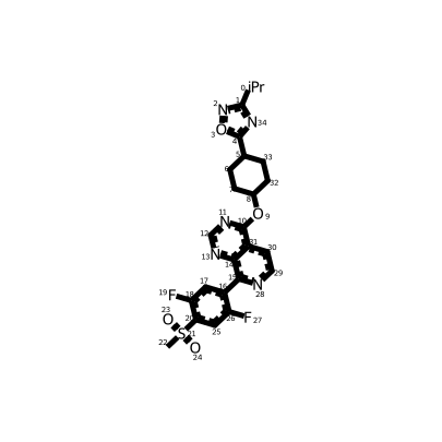 CC(C)c1noc(C2CCC(Oc3ncnc4c(-c5cc(F)c(S(C)(=O)=O)cc5F)nccc34)CC2)n1